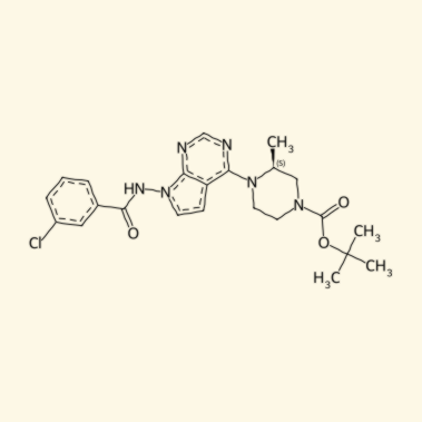 C[C@H]1CN(C(=O)OC(C)(C)C)CCN1c1ncnc2c1ccn2NC(=O)c1cccc(Cl)c1